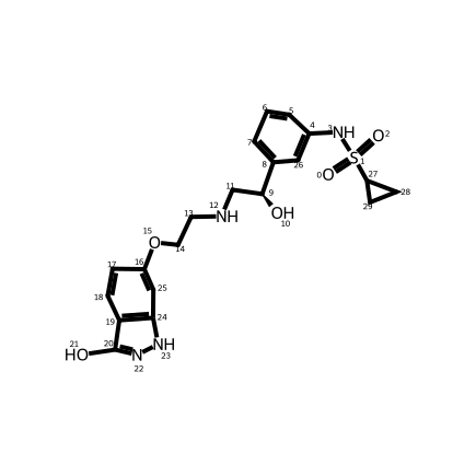 O=S(=O)(Nc1cccc([C@@H](O)CNCCOc2ccc3c(O)n[nH]c3c2)c1)C1CC1